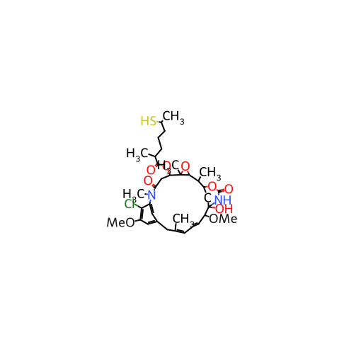 COc1cc2cc(c1Cl)N(C)C(=O)CC(OC(=O)C(C)CCCC(C)S)C1(C)OC1C(C)C1CC(O)(NC(=O)O1)C(OC)/C=C/C=C(\C)C2